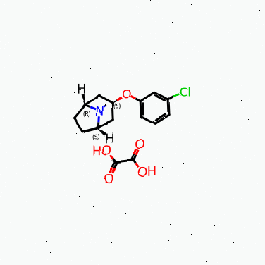 CN1[C@@H]2CC[C@H]1C[C@H](Oc1cccc(Cl)c1)C2.O=C(O)C(=O)O